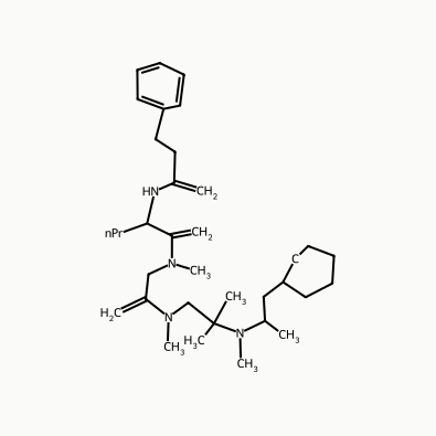 C=C(CCc1ccccc1)NC(CCC)C(=C)N(C)CC(=C)N(C)CC(C)(C)N(C)C(C)CC1CCCCC1